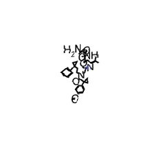 COc1ccc(C2(C(=O)N(CCC3(c4ccccc4)CC3)C/C(C)=N/C(C(=O)NS(=O)(=O)C(C)(C)N)=C(C)C)CC2)cc1